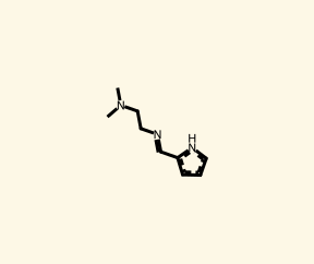 CN(C)CCN=Cc1ccc[nH]1